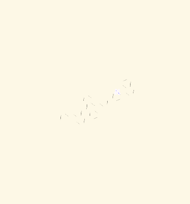 CC1=CC=C(C2=c3ccccc3=C(c3c4ccccc4c(C4=CC=C(c5ccc(-c6cccc7ccccc67)nc5)CC4)c4ccccc34)CC2)CC1